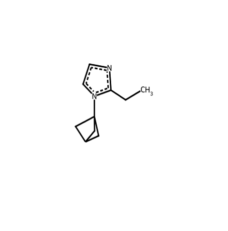 CCc1nccn1C12CC(C1)C2